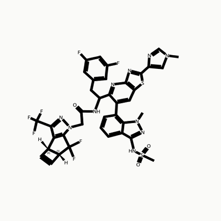 Cn1cnc(-c2nc3nc(C(Cc4cc(F)cc(F)c4)NC(=O)Cn4nc(C(F)(F)F)c5c4C(F)(F)[C@@H]4C#C[C@H]54)c(-c4cccc5c(NS(C)(=O)=O)nn(C)c45)cc3s2)c1